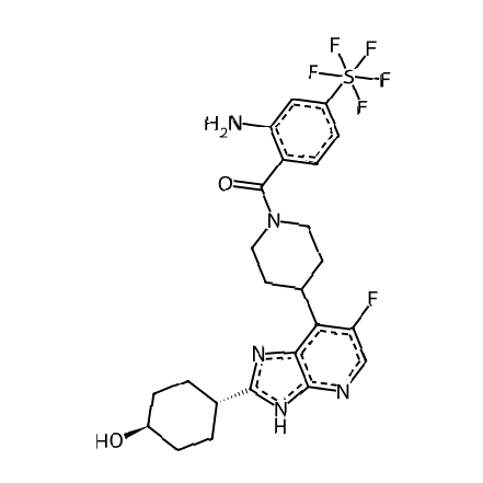 Nc1cc(S(F)(F)(F)(F)F)ccc1C(=O)N1CCC(c2c(F)cnc3[nH]c([C@H]4CC[C@H](O)CC4)nc23)CC1